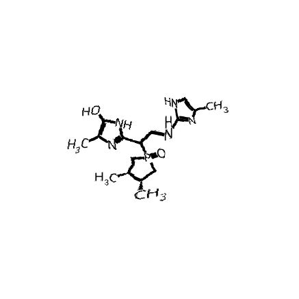 Cc1c[nH]c(NCC(c2nc(C)c(O)[nH]2)P2(=O)C[C@@H](C)[C@@H](C)C2)n1